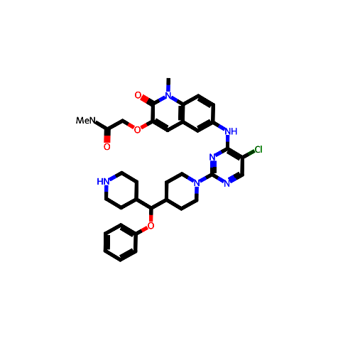 CNC(=O)COc1cc2cc(Nc3nc(N4CCC(C(Oc5ccccc5)C5CCNCC5)CC4)ncc3Cl)ccc2n(C)c1=O